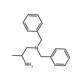 CC(N)CN(Cc1ccccc1)Cc1ccccc1